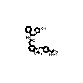 O=C(Cc1ccc2oc(=O)n(Cc3ccc(-c4nnn[nH]4)cc3)c2c1)NC(CN1CC[C@H](O)C1)c1ccccc1